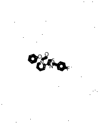 O=CC(Oc1ccccc1)N1CCCC[C@@H]1c1csc(-c2ccc(F)cc2)n1